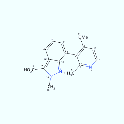 COc1ccnc(C)c1-c1cccc2c(C(=O)O)n(C)nc12